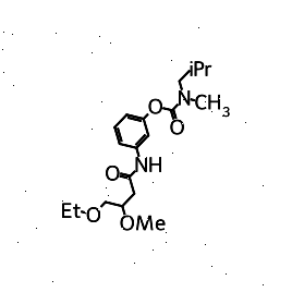 CCOCC(CC(=O)Nc1cccc(OC(=O)N(C)CC(C)C)c1)OC